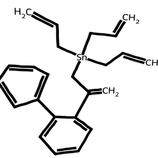 C=C[CH2][Sn]([CH2]C=C)([CH2]C=C)[CH2]C(=C)c1ccccc1-c1ccccc1